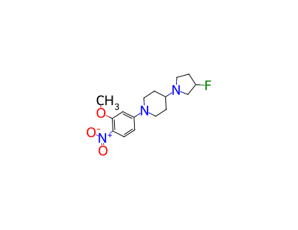 COc1cc(N2CCC(N3CCC(F)C3)CC2)ccc1[N+](=O)[O-]